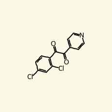 O=C(C(=O)c1ccc(Cl)cc1Cl)c1ccncc1